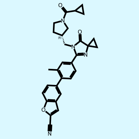 Cc1cc(C2=NC3(CC3)C(=O)N2C[C@@H]2CCN(C(=O)C3CC3)C2)ccc1-c1ccc2oc(C#N)cc2c1